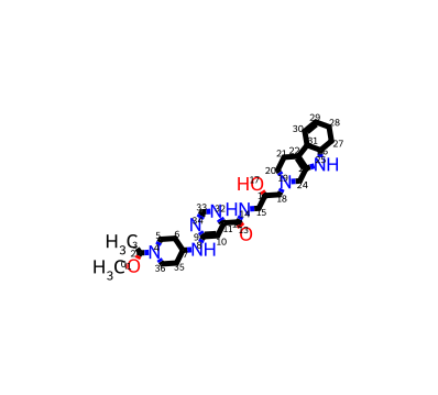 COC(C)N1CCC(Nc2cc(C(=O)NCC(O)CN3CCC4=C(C3)NC3CCC=CC43)ncn2)CC1